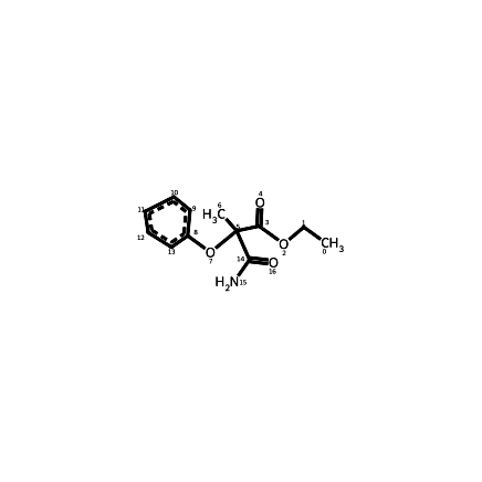 CCOC(=O)C(C)(Oc1ccccc1)C(N)=O